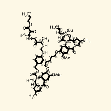 C=CCOC(=O)C(=O)[C@@H](NCC(=O)[C@H](C)NCNc1ccc(COC(=O)N2c3cc(OCCCCCOc4cc5c(cc4OC)C(=O)N4C=C(C)C[C@H]4[C@H](O[Si](C)(C)C(C)(C)C)N5C(=O)OCC=C)c(OC)cc3C(=O)N3C=C(C)C[C@H]3[C@@H]2O)cc1)C(C)C